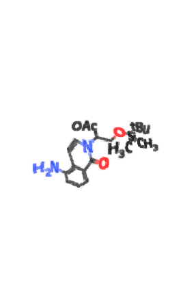 CC(=O)O[C@@H](CO[Si](C)(C)C(C)(C)C)n1ccc2c(N)cccc2c1=O